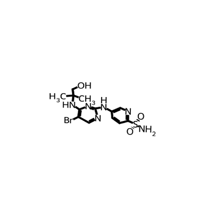 CC(C)(CO)Nc1nc(Nc2ccc(S(N)(=O)=O)nc2)ncc1Br